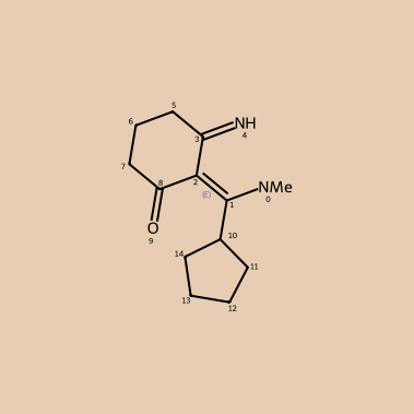 CN/C(=C1\C(=N)CCCC1=O)C1CCCC1